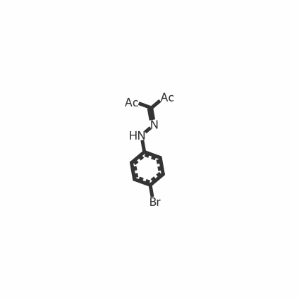 [CH2]C(=O)C(=NNc1ccc(Br)cc1)C(C)=O